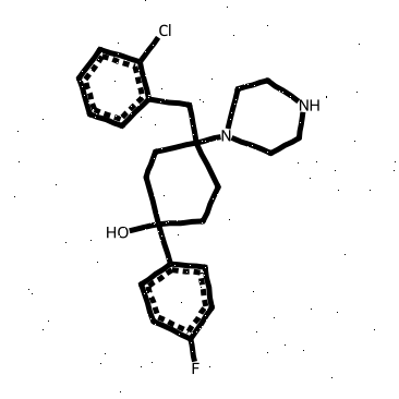 OC1(c2ccc(F)cc2)CCC(Cc2ccccc2Cl)(N2CCNCC2)CC1